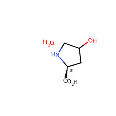 O.O=C(O)[C@@H]1CC(O)CN1